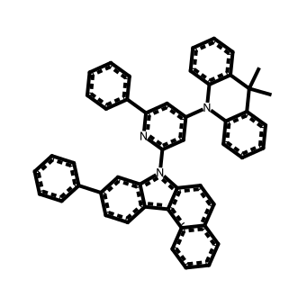 CC1(C)c2ccccc2N(c2cc(-c3ccccc3)nc(-n3c4cc(-c5ccccc5)ccc4c4c5ccccc5ccc43)c2)c2ccccc21